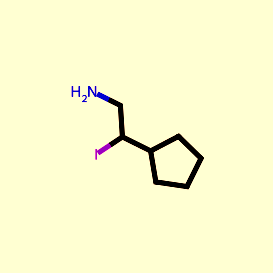 NCC(I)C1CCCC1